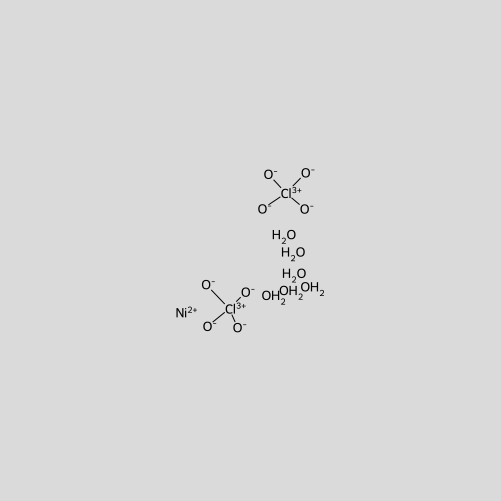 O.O.O.O.O.O.[Ni+2].[O-][Cl+3]([O-])([O-])[O-].[O-][Cl+3]([O-])([O-])[O-]